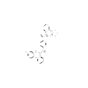 Cc1ccc(-c2ccccc2C(=O)Nc2ccc(C(=O)N3C[C@@H]4CC(Cl)CN4c4ccccc43)cc2)cc1